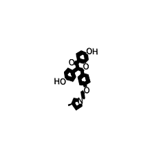 C[C@@H]1CCN(CCOc2ccc(C3Oc4cc(O)ccc4C(=O)C3c3ccc(O)cc3)cc2)C1